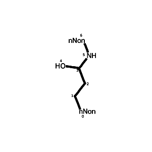 CCCCCCCCCCCC(O)NCCCCCCCCC